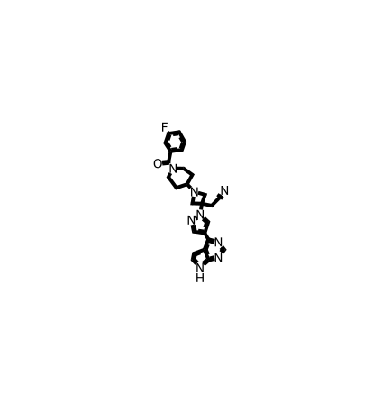 N#CCC1(n2cc(-c3ncnc4[nH]ccc34)cn2)CN(C2CCN(C(=O)c3cccc(F)c3)CC2)C1